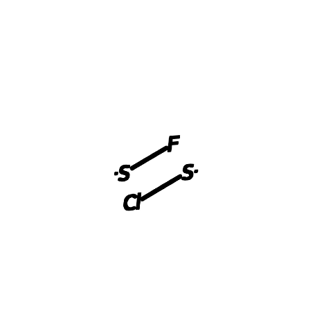 F[S].[S]Cl